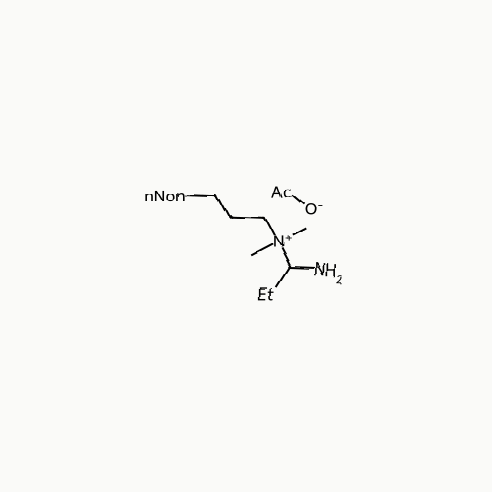 CC(=O)[O-].CCCCCCCCCCCC[N+](C)(C)C(N)CC